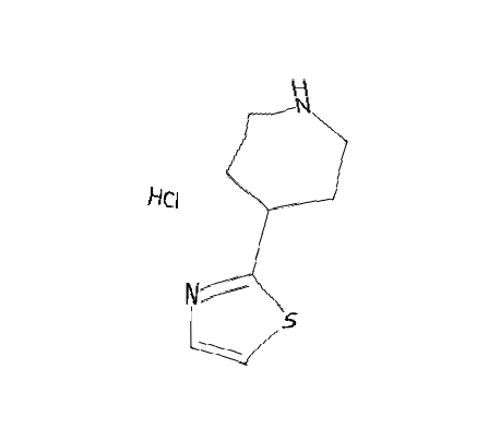 Cl.c1csc(C2CCNCC2)n1